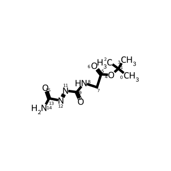 CC(C)(C)OC(=O)CNC(=O)N=NC(N)=O